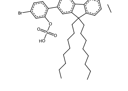 CC.CCCCCCCCC1(CCCCCCCC)c2ccccc2-c2ccc(-c3ccc(Br)cc3OS(=O)(=O)O)cc21